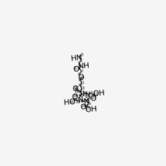 CNCCNC(=O)CCOCCCCC(C=O)N1CN(CC(=O)O)CN(CC(=O)O)CN(CC(=O)O)C1